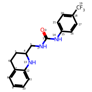 O=C(NCC1CCc2ccccc2N1)Nc1ccc(C(F)(F)F)cc1